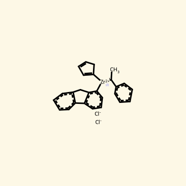 C/[C](c1ccccc1)=[Zr+2](\[C]1=CC=CC1)[c]1cccc2c1Cc1ccccc1-2.[Cl-].[Cl-]